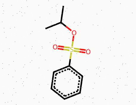 C[C](C)OS(=O)(=O)c1ccccc1